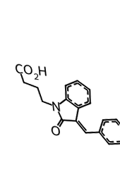 O=C(O)CCCN1C(=O)/C(=C/c2ccccc2)c2ccccc21